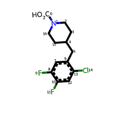 O=C(O)N1CCC(Cc2cc(F)c(F)cc2Cl)CC1